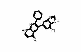 O=c1cc[nH]c2nc(-c3ccccc3)c(-c3cc(Cl)c4[nH]cnc4c3)cc12